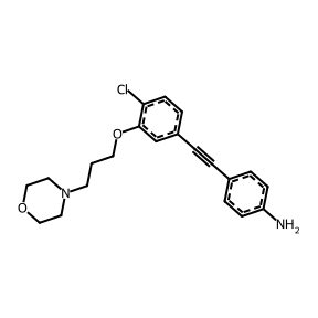 Nc1ccc(C#Cc2ccc(Cl)c(OCCCN3CCOCC3)c2)cc1